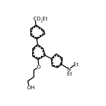 CCOC(=O)c1ccc(-c2ccc(OCCCO)c(-c3ccc(N(CC)CC)cc3)c2)cc1